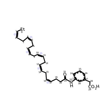 CC/C=C\C/C=C\C/C=C\C/C=C\C/C=C\C/C=C\CCC(=O)Nc1cccc(CC(=O)O)c1